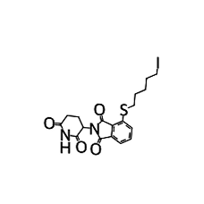 O=C1CCC(N2C(=O)c3cccc(SCCCCCI)c3C2=O)C(=O)N1